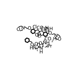 CC(C)C[C@H](NC(=O)[C@@H](C)NC(=O)OCc1ccccc1)C(=O)NCC(=O)O.O=C(O)C(C(=O)C(C(=O)O)c1c(Cl)ccc(OCCN2CCOCC2)c1Cl)c1c(Cl)ccc(OCCN2CCOCC2)c1Cl